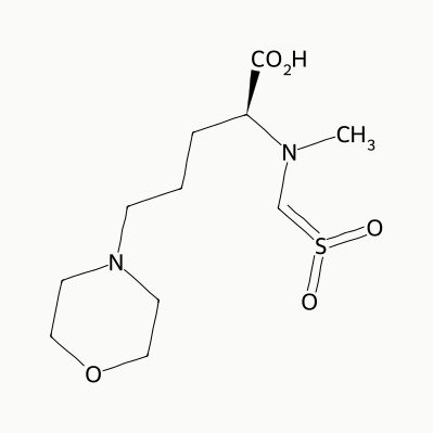 CN(C=S(=O)=O)[C@@H](CCCN1CCOCC1)C(=O)O